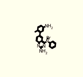 Cc1ccc(N)cc1-c1ccc2nc(N)nc(N(Br)c3ccccc3)c2c1